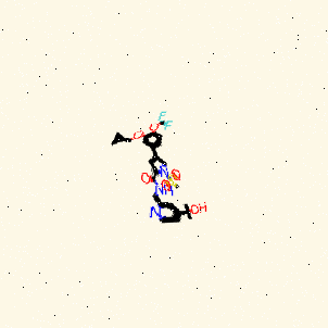 CC(C)(O)c1ccnc(CNC(=O)[C@H]2CC(c3ccc(OC(F)F)c(OCC4CC4)c3)CN2S(C)(=O)=O)c1